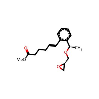 COC(=O)CCC/C=C/c1ccccc1[C@@H](C)OC[C@H]1CO1